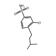 CC(C)CCc1ccc(S(N)(=O)=O)cc1Cl